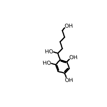 OCCCCC(O)c1c(O)cc(O)cc1O